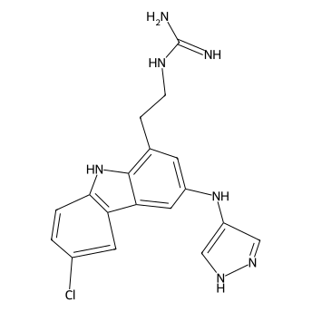 N=C(N)NCCc1cc(Nc2cn[nH]c2)cc2c1[nH]c1ccc(Cl)cc12